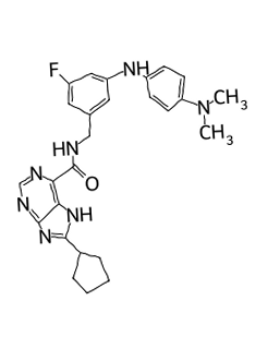 CN(C)c1ccc(Nc2cc(F)cc(CNC(=O)c3ncnc4nc(C5CCCC5)[nH]c34)c2)cc1